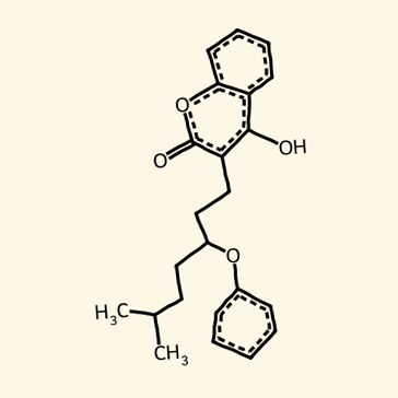 CC(C)CCC(CCc1c(O)c2ccccc2oc1=O)Oc1ccccc1